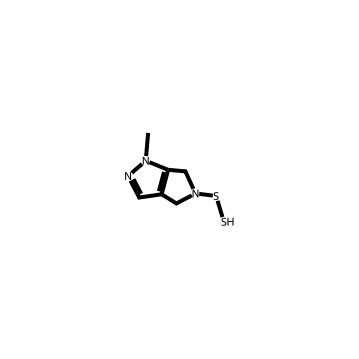 Cn1ncc2c1CN(SS)C2